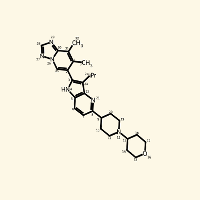 Cc1c(-c2[nH]c3ccc(C4CCN(C5CCOCC5)CC4)nc3c2C(C)C)cn2ncnc2c1C